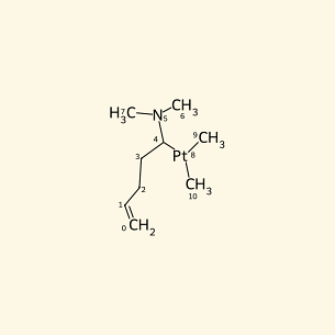 C=CCC[CH](N(C)C)[Pt]([CH3])[CH3]